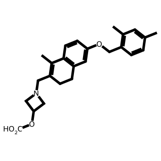 CC1=C(CN2CC(OC(=O)O)C2)CCc2cc(OCc3ccc(C)cc3C)ccc21